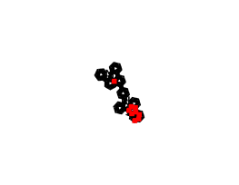 c1ccc(N(c2ccc(-c3ccc(-c4ccccc4-n4c5ccccc5c5ccccc54)cc3)cc2)c2cccc3c2sc2ccccc23)c(-c2ccc3ccccc3c2)c1